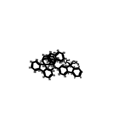 CC1(C)c2ccccc2-c2ccc(N(c3cccc4c3C3(c5ccccc5-4)C4CC5CC(C4)CC3C5)c3cccc4ccccc34)cc21